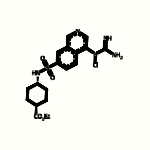 CCOC(=O)[C@H]1CC[C@H](NS(=O)(=O)c2ccc3c(N(Cl)C(=N)N)cncc3c2)CC1